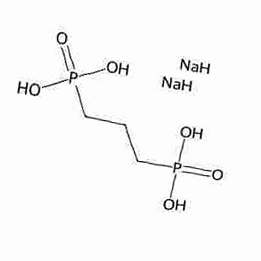 O=P(O)(O)CCCP(=O)(O)O.[NaH].[NaH]